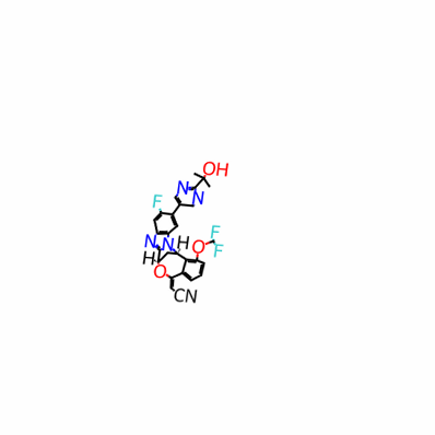 CC(C)(O)c1ncc(-c2cc3c(cc2F)nc2n3[C@@H]3C[C@H]2O/C(=C/C#N)c2cccc(OC(F)F)c23)cn1